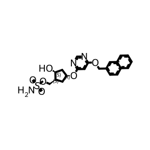 NS(=O)(=O)OC[C@@H]1C[C@@H](Oc2cc(OCc3ccc4ccccc4c3)ncn2)C[C@@H]1O